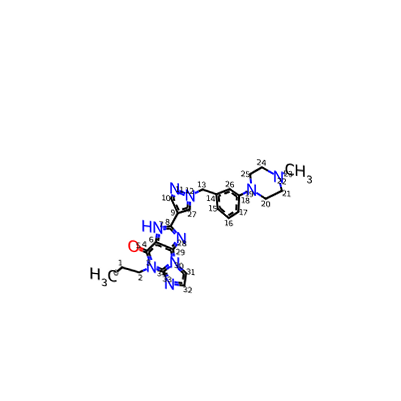 CCCn1c(=O)c2[nH]c(-c3cnn(Cc4cccc(N5CCN(C)CC5)c4)c3)nc2n2ccnc12